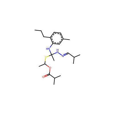 CCCc1ccc(C)cc1NC(C)(N/N=C/C(C)C)SC(C)OC(=O)C(C)C